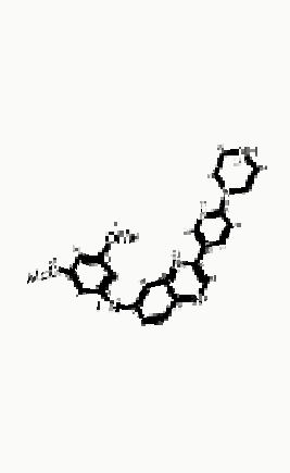 COc1cc(Nc2ccc3ncc(-c4ccc(N5CCNCC5)nc4)nc3c2)cc(OC)c1